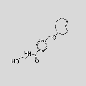 O=C(NCCO)c1ccc(COC2CC/C=C/CCC2)cc1